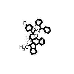 CC1(C)c2ccccc2-c2c1c1c(c3ccccc23)OC(c2ccc(F)cc2)(c2nc(-c3ccccc3)c3ccccc3n2)C=C1